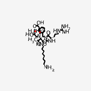 CC(=O)[C@@](C(=O)NCCCCCCCCN)(C(c1ccccc1)N1C(=O)N[C@@H](CCCNC(=N)N)C1=O)N(CC(=O)O)C(=O)[C@@H](N)CC(=O)O